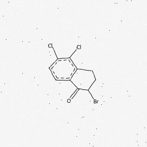 O=C1c2ccc(Cl)c(Cl)c2CCC1Br